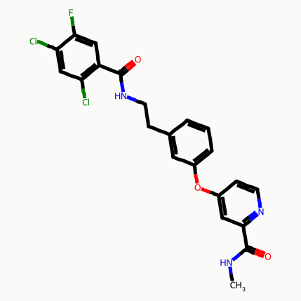 CNC(=O)c1cc(Oc2cccc(CCNC(=O)c3cc(F)c(Cl)cc3Cl)c2)ccn1